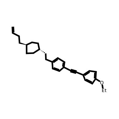 C=CCC[C@H]1CC[C@H](CCc2ccc(C#Cc3ccc(OCC)cc3)cc2)CC1